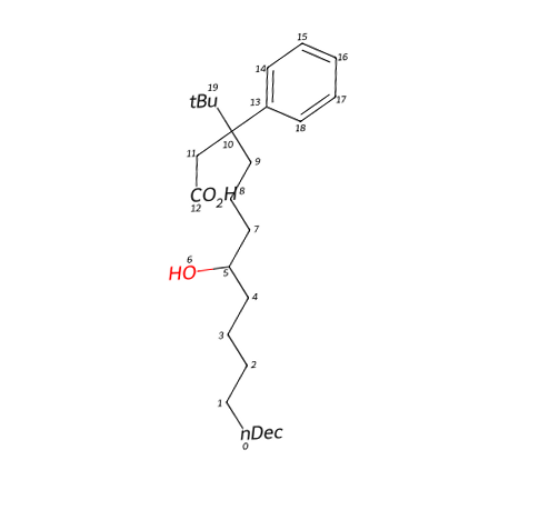 CCCCCCCCCCCCCCC(O)CCCC(CC(=O)O)(c1ccccc1)C(C)(C)C